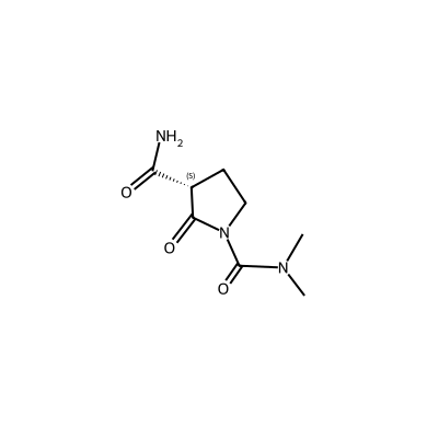 CN(C)C(=O)N1CC[C@@H](C(N)=O)C1=O